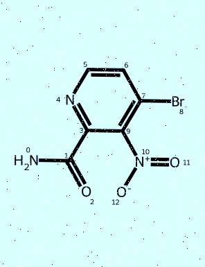 NC(=O)c1nccc(Br)c1[N+](=O)[O-]